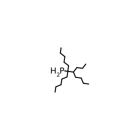 CCCCCC(P)(CCCCC)C(CCC)CCCC